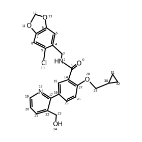 O=C(NCc1cc2c(cc1Cl)OCO2)c1cc(-c2ncccc2CO)ccc1OCC1CC1